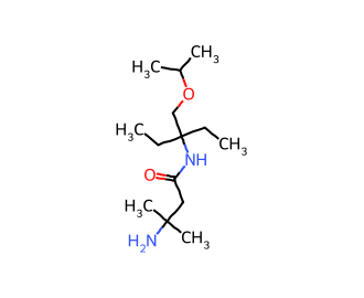 CCC(CC)(COC(C)C)NC(=O)CC(C)(C)N